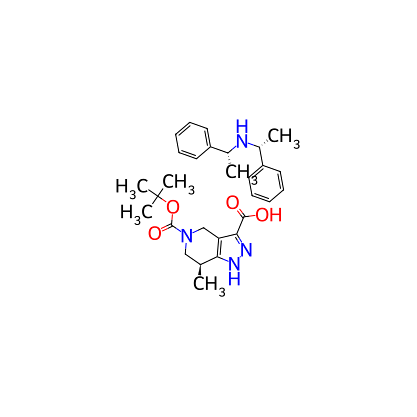 C[C@@H](N[C@H](C)c1ccccc1)c1ccccc1.C[C@H]1CN(C(=O)OC(C)(C)C)Cc2c(C(=O)O)n[nH]c21